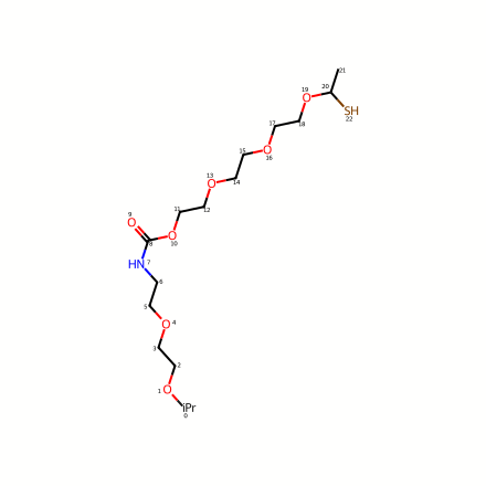 CC(C)OCCOCCNC(=O)OCCOCCOCCOC(C)S